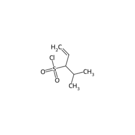 C=CC(C(C)C)S(=O)(=O)Cl